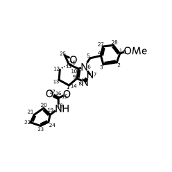 COc1ccc(Cn2nnc3c2[C@@]2(CC[C@H]3OC(=O)Nc3ccccc3)CO2)cc1